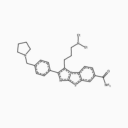 CCN(CC)CCCc1c(-c2ccc(CN3CCCC3)cc2)nc2sc3cc(C(N)=O)ccc3n12